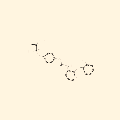 COC(=O)C(C)(C)Oc1ccc(NC(=O)Nc2cccnc2Oc2ccccc2C(C)(C)C)cc1